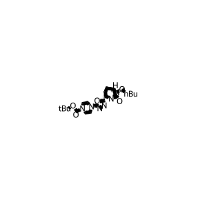 CCCCON1C(=O)N2C[C@@H]1CC[C@H]2c1nnc(N2CCN(C(=O)OC(C)(C)C)CC2)o1